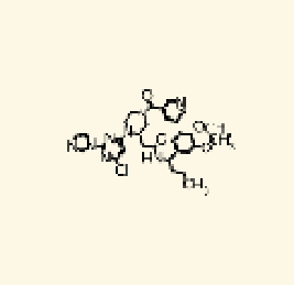 CCCC(NC(=O)CC1CN(C(=O)c2cccnc2)CCN1c1cc(Cl)nc(-n2ccnc2)n1)c1ccc(OC)c(OC)c1